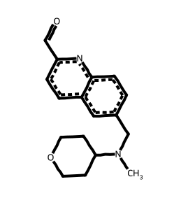 CN(Cc1ccc2nc(C=O)ccc2c1)C1CCOCC1